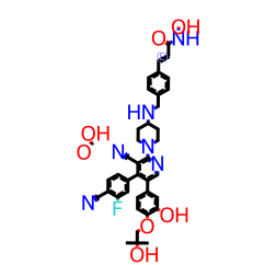 CC(C)(O)COc1ccc(-c2cnc(N3CCC(NCc4ccc(/C=C/C(=O)NO)cc4)CC3)c(C#N)c2-c2ccc(C#N)c(F)c2)cc1O.O=CO